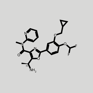 C[C@H](N)c1oc(-c2ccc(OC(F)F)c(OCC3CC3)c2)nc1C(=O)N(C)c1ccccn1